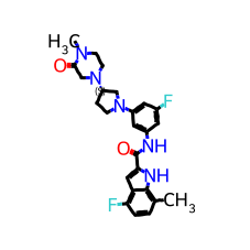 Cc1ccc(F)c2cc(C(=O)Nc3cc(F)cc(N4CC[C@H](N5CCN(C)C(=O)C5)C4)c3)[nH]c12